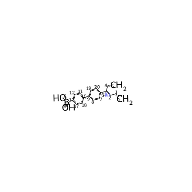 C=C/C=C(\C=C)c1ccc(-c2ccc(B(O)O)cc2)cc1